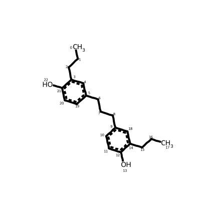 CCCc1cc(CCCc2ccc(O)c(CCC)c2)ccc1O